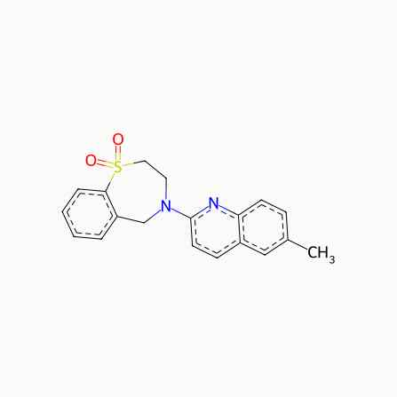 Cc1ccc2nc(N3CCS(=O)(=O)c4ccccc4C3)ccc2c1